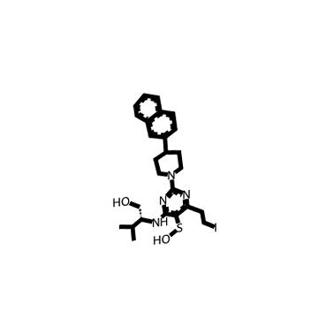 CC(C)[C@H](CO)Nc1nc(N2CCC(c3ccc4ccccc4c3)CC2)nc(CCI)c1SO